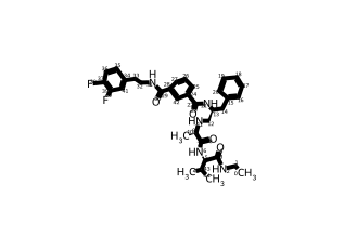 CCNC(=O)[C@@H](NC(=O)[C@H](C)NC[C@H](Cc1ccccc1)NC(=O)c1cccc(C(=O)NCCc2ccc(F)c(F)c2)c1)C(C)C